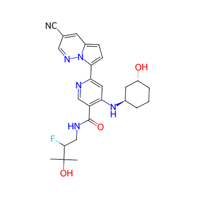 CC(C)(O)C(F)CNC(=O)c1cnc(-c2ccc3cc(C#N)cnn23)cc1N[C@@H]1CCC[C@@H](O)C1